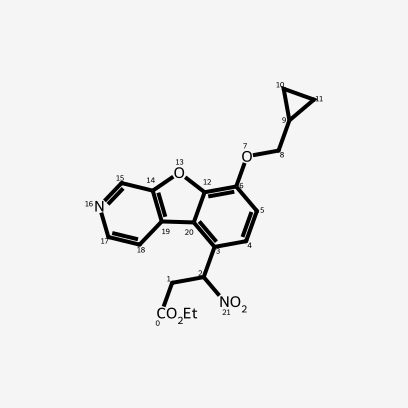 CCOC(=O)CC(c1ccc(OCC2CC2)c2oc3cnccc3c12)[N+](=O)[O-]